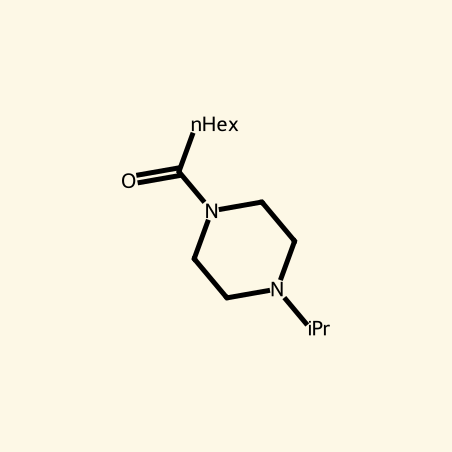 CCCCCCC(=O)N1CCN(C(C)C)CC1